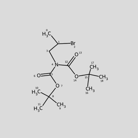 CC(Br)CN(C(=O)OC(C)(C)C)C(=O)OC(C)(C)C